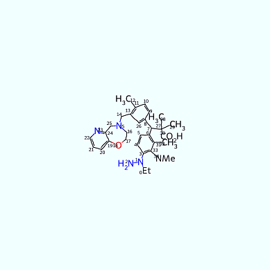 CCN(N)c1ccc(C(c2ccc(C)c(CN3CCOc4cccnc4C3)c2)C(C)(C)C(=O)O)c(C)c1NC